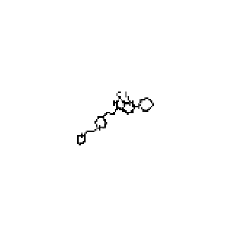 Cn1nc(CCC2CCN(CCN3CCCC3)CC2)c2ccc(N3CCCCCC3)nc21